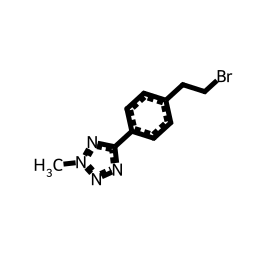 Cn1nnc(-c2ccc(CCBr)cc2)n1